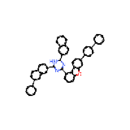 c1ccc(-c2ccc(-c3ccc4c(c3)oc3cccc(C5=NC(c6ccc7ccccc7c6)NC(c6ccc7ccc(-c8ccccc8)cc7c6)=N5)c34)cc2)cc1